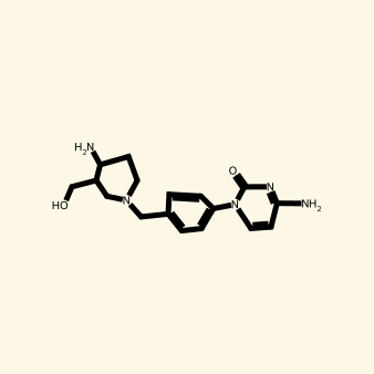 Nc1ccn(-c2ccc(CN3CCC(N)C(CO)C3)cc2)c(=O)n1